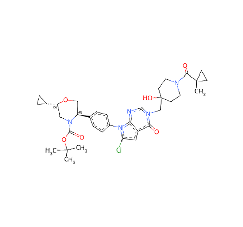 CC(C)(C)OC(=O)N1C[C@H](C2CC2)OC[C@H]1c1ccc(-n2c(Cl)cc3c(=O)n(CC4(O)CCN(C(=O)C5(C)CC5)CC4)cnc32)cc1